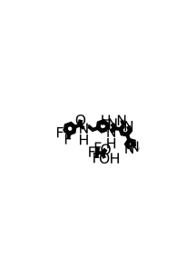 Cn1cc(-c2cnc(N)c(-c3nc4ccc(CCNC(=O)c5ccc(F)c(F)c5)cc4[nH]3)c2)cn1.O=C(O)C(F)(F)F